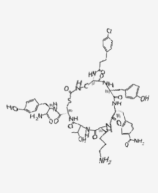 CC(O)C1NC(=O)[C@H](CCCCN)NC(=O)[C@@H](Cc2ccc(C(N)=O)cc2)NC(=O)[C@H](Cc2ccc(O)cc2)NC(=O)[C@@H](NC(=O)CCc2ccc(Cl)cc2)CNC(=O)SC[C@@H](C(=O)N[C@H](Cc2ccc(O)cc2)C(N)=O)NC1=O